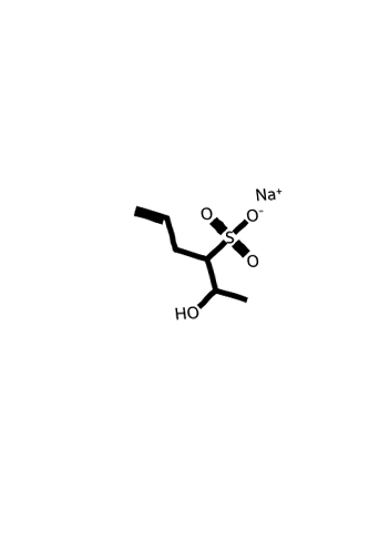 C=CCC(C(C)O)S(=O)(=O)[O-].[Na+]